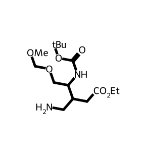 CCOC(=O)CC(CN)C(COCOC)NC(=O)OC(C)(C)C